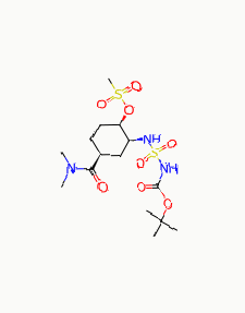 CN(C)C(=O)[C@H]1CC[C@@H](OS(C)(=O)=O)[C@@H](NS(=O)(=O)NC(=O)OC(C)(C)C)C1